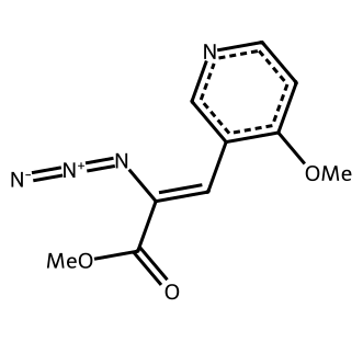 COC(=O)C(=Cc1cnccc1OC)N=[N+]=[N-]